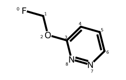 FCOc1cccnn1